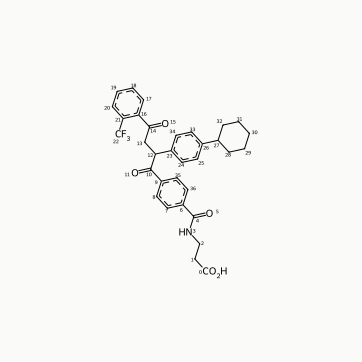 O=C(O)CCNC(=O)c1ccc(C(=O)C(CC(=O)c2ccccc2C(F)(F)F)c2ccc(C3CCCCC3)cc2)cc1